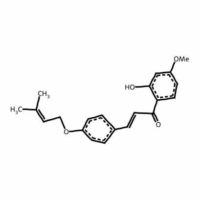 COc1ccc(C(=O)/C=C/c2ccc(OCC=C(C)C)cc2)c(O)c1